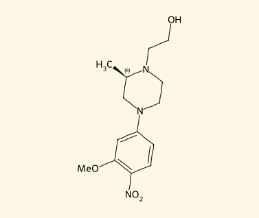 COc1cc(N2CCN(CCO)[C@H](C)C2)ccc1[N+](=O)[O-]